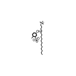 CCCCCCCCCCCCCCCC[N+](C)(C)C.Cc1ccc(O)cc1S(=O)(=O)[O-]